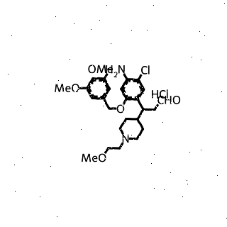 COCCN1CCC(C(CC=O)c2cc(Cl)c(N)cc2OCc2cc(OC)cc(OC)c2)CC1.Cl